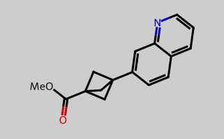 COC(=O)C12CC(c3ccc4cccnc4c3)(C1)C2